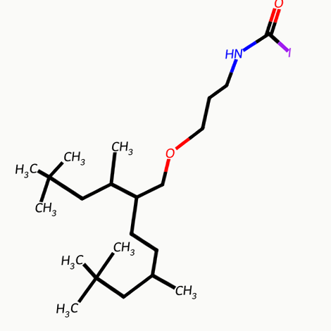 CC(CCC(COCCCNC(=O)I)C(C)CC(C)(C)C)CC(C)(C)C